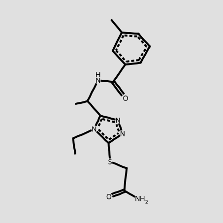 CCn1c(SCC(N)=O)nnc1C(C)NC(=O)c1cccc(C)c1